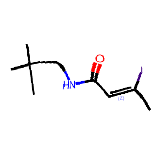 C/C(I)=C/C(=O)NCC(C)(C)C